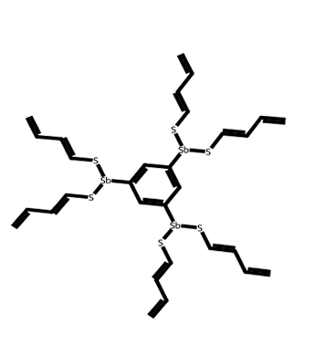 C=CC=C[S][Sb]([S]C=CC=C)[c]1c[c]([Sb]([S]C=CC=C)[S]C=CC=C)c[c]([Sb]([S]C=CC=C)[S]C=CC=C)c1